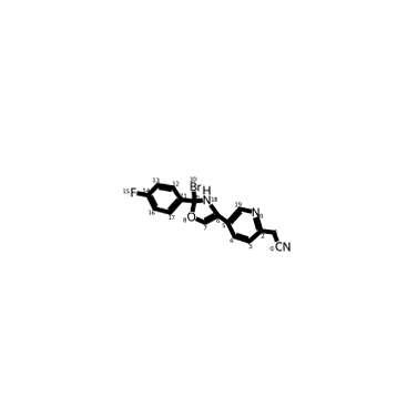 N#CCc1ccc(C2=COC(Br)(c3ccc(F)cc3)N2)cn1